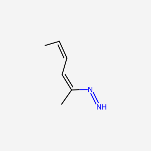 C/C=C\C=C(\C)N=N